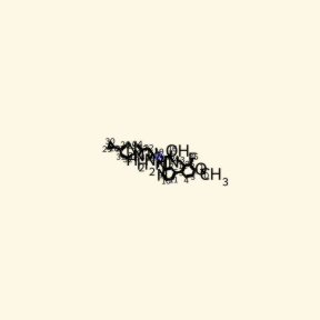 COc1ccc(-c2ccncc2)c(CNC(O)/C(N)=C/N(N)Cc2cn3cc(C4CC4)ccc3n2)c1F